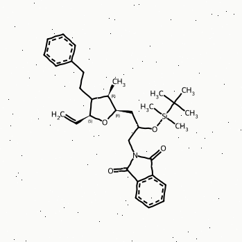 C=C[C@@H]1O[C@H](CC(CN2C(=O)c3ccccc3C2=O)O[Si](C)(C)C(C)(C)C)[C@H](C)C1CCc1ccccc1